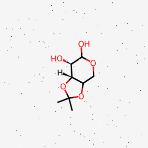 CC1(C)OC2COC(O)[C@H](O)[C@H]2O1